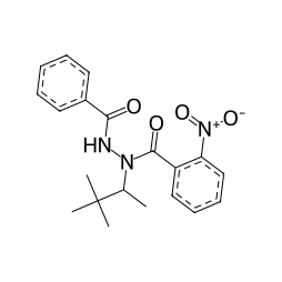 CC(N(NC(=O)c1ccccc1)C(=O)c1ccccc1[N+](=O)[O-])C(C)(C)C